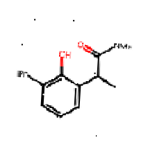 CNC(=O)C(C)c1cccc(C(C)C)c1O